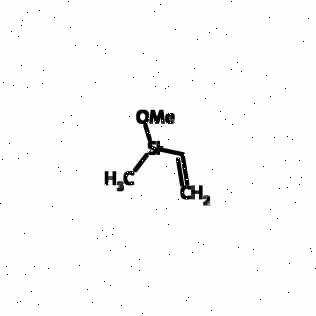 C=C[Si](C)OC